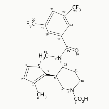 Cc1ccsc1[C@@H]1CN(C(=O)O)CC[C@H]1N(C)C(=O)c1cc(C(F)(F)F)cc(C(F)(F)F)c1